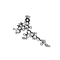 CC(C)C[C@@H](N)C(=O)N1C(C(=O)N[C@@H](Cc2ccc(C(C)(C)C)cc2)C(=O)N[C@@H](CCC(=O)OC(C)(C)C)CC(=O)N[C@H](CCCCNC(=O)OC(C)(C)C)C(N)=O)C(C)(C)SC1(C)C